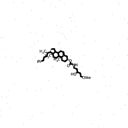 COCCC(O)CCNC(=O)O[C@@H]1CC[C@]2(C)C(=CCC3C2CC[C@]2(C)C3CC[C@H]2[C@@H](C)CCCC(C)C)C1